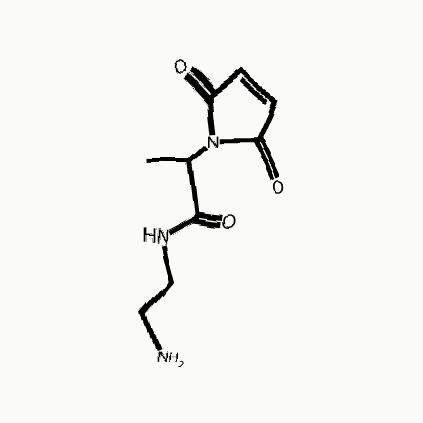 CC(C(=O)NCCN)N1C(=O)C=CC1=O